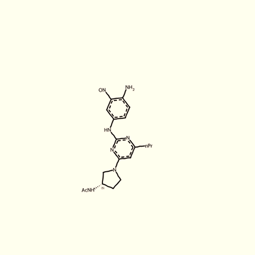 CCCc1cc(N2CC[C@H](NC(C)=O)C2)nc(Nc2ccc(N)c(N=O)c2)n1